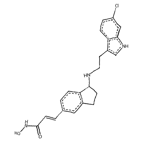 O=C(C=Cc1ccc2c(c1)CCC2NCCc1c[nH]c2cc(Cl)ccc12)NO